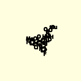 COC(=O)C1=C(CN2CCO[C@H]3CN(C(=O)OC(C)(C)C)C[C@H]32)NC(c2ncc(F)cc2F)=N[C@@H]1c1ccc(F)cc1Cl